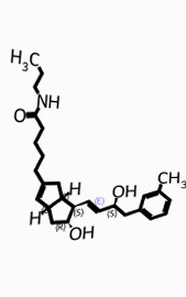 CCCNC(=O)CCCCC1=C[C@H]2C[C@@H](O)[C@H](/C=C/[C@@H](O)Cc3cccc(C)c3)[C@H]2C1